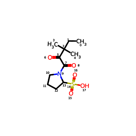 CCC(C)(C)C(=O)C(=O)N1CCCC1S(=O)(=O)O